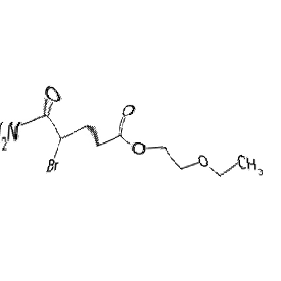 CCOCCOC(=O)CCC(Br)C(N)=O